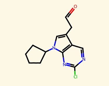 O=CCc1cn(C2CCCC2)c2nc(Cl)ncc12